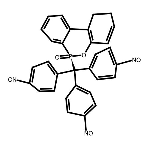 O=Nc1ccc(C(c2ccc(N=O)cc2)(c2ccc(N=O)cc2)[P@]2(=O)OC3=C(CCC=C3)c3ccccc32)cc1